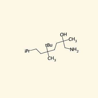 CC(C)CCC(C)(CCC(C)(O)CN)C(C)(C)C